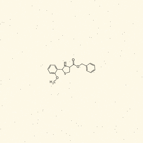 COc1ccccc1C1NC(C(=O)OCc2ccccc2)CS1